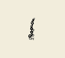 CC(C)(F)CN1CCC(COc2ccc(-c3ccc(C(=O)N4CCC[C@@H](O)C4)cc3F)cc2)CC1